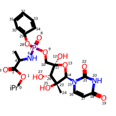 CC(C)OC(=O)C(C)NP(=O)(OC[C@@]1(O)O[C@@H](n2ccc(=O)[nH]c2=O)[C@](C)(O)[C@@H]1O)Oc1ccccc1